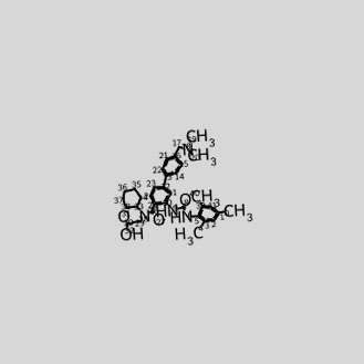 Cc1cc(C)c(NC(=O)Nc2cc(-c3ccc(CN(C)C)cc3)ccc2C(=O)N(CC(=O)O)C2CCCCC2)c(C)c1